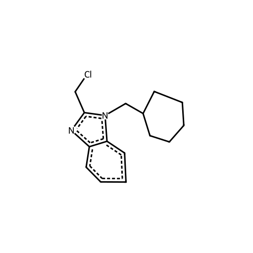 ClCc1nc2ccccc2n1CC1CCCCC1